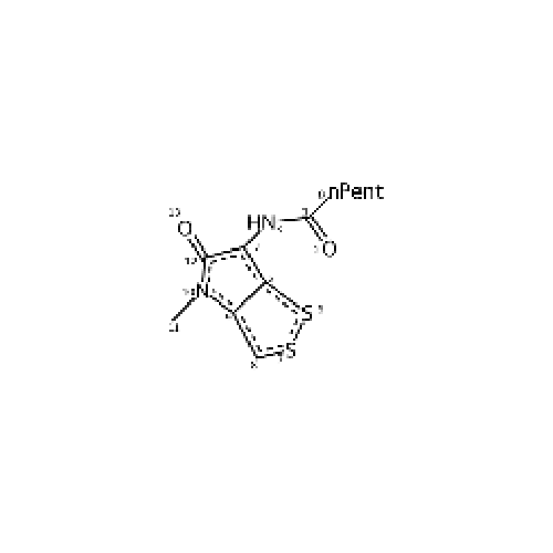 CCCCCC(=O)Nc1c2sscc-2n(C)c1=O